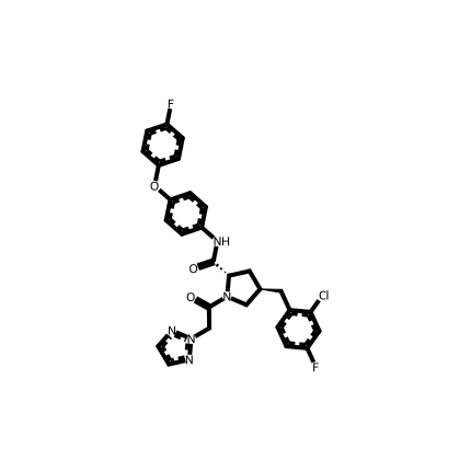 O=C(Nc1ccc(Oc2ccc(F)cc2)cc1)[C@@H]1C[C@@H](Cc2ccc(F)cc2Cl)CN1C(=O)Cn1nccn1